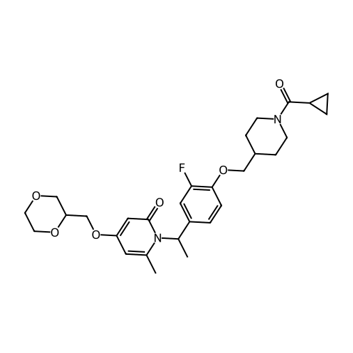 Cc1cc(OCC2COCCO2)cc(=O)n1C(C)c1ccc(OCC2CCN(C(=O)C3CC3)CC2)c(F)c1